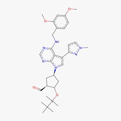 COc1ccc(CNc2ncnc3c2c(-c2ccn(C)n2)cn3[C@H]2CC(O[Si](C)(C)C(C)(C)C)[C@@H](C=O)C2)c(OC)c1